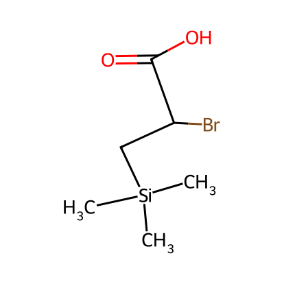 C[Si](C)(C)CC(Br)C(=O)O